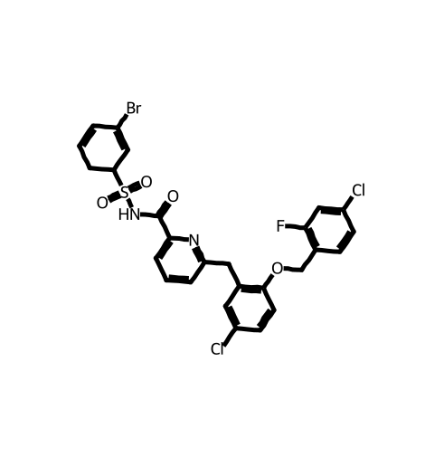 O=C(NS(=O)(=O)C1C=C(Br)C=CC1)c1cccc(Cc2cc(Cl)ccc2OCc2ccc(Cl)cc2F)n1